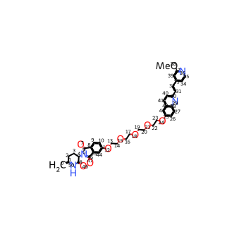 C=C1CCC(N2C(=O)c3ccc(OCCOCCOCCOCCOc4ccc5nc(/C=C/c6ccnc(OC)c6)ccc5c4)cc3C2=O)C(=O)N1